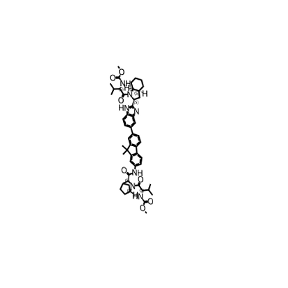 COC(=O)N[C@H](C(=O)N1[C@@H]2CCC(C2)[C@H]1C(=O)Nc1ccc2c(c1)C(C)(C)c1cc(-c3ccc4[nH]c([C@@H]5C[C@@H]6CCCC[C@@H]6N5C(=O)[C@@H](NC(=O)OC)C(C)C)nc4c3)ccc1-2)C(C)C